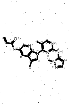 C=CC(=O)Nc1cnc2c(c1)c(C)cn2-c1nc(Nc2ccnn2C)ncc1C